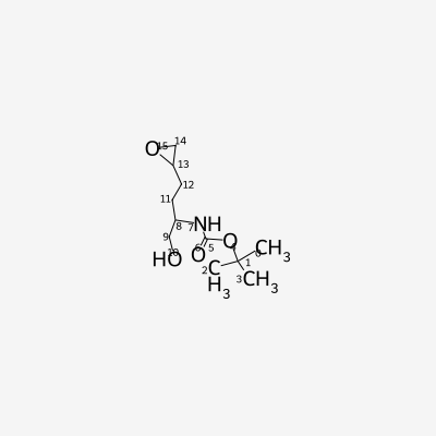 CC(C)(C)OC(=O)NC(CO)CCC1CO1